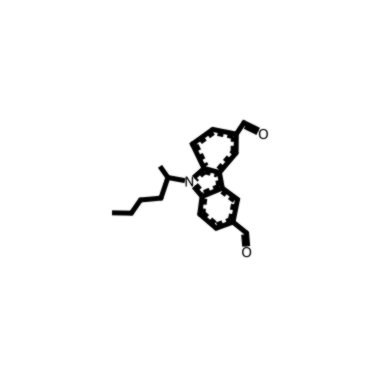 CCCCC(C)n1c2ccc(C=O)cc2c2cc(C=O)ccc21